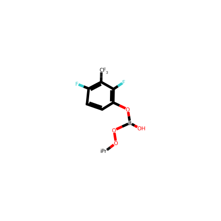 CC(C)OOB(O)Oc1ccc(F)c(C(F)(F)F)c1F